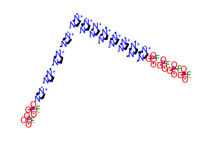 Cn1cc[n+](C)c1.Cn1cc[n+](C)c1.Cn1cc[n+](C)c1.Cn1cc[n+](C)c1.Cn1cc[n+](C)c1.Cn1cc[n+](C)c1.Cn1cc[n+](C)c1.Cn1cc[n+](C)c1.Cn1cc[n+](C)c1.Cn1cc[n+](C)c1.Cn1cc[n+](C)c1.Cn1cc[n+](C)c1.O=P([O-])([O-])F.O=P([O-])([O-])F.O=P([O-])([O-])F.O=P([O-])([O-])F.O=P([O-])([O-])F.O=P([O-])([O-])F